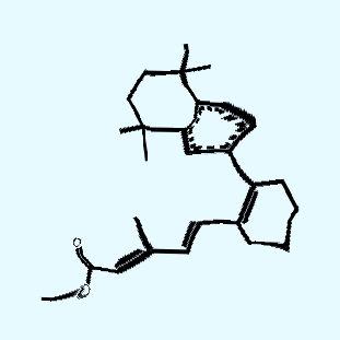 COC(=O)/C=C(C)/C=C/C1=C(c2ccc3c(c2)C(C)(C)CCC3(C)C)CCCC1